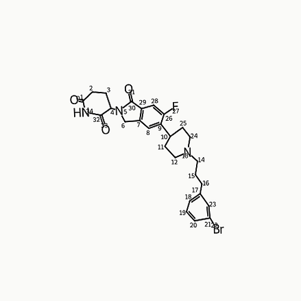 O=C1CCC(N2Cc3cc(C4CCN(CCCc5cccc(Br)c5)CC4)c(F)cc3C2=O)C(=O)N1